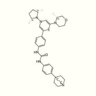 C[C@@H]1COCCN1C1=CN(N2[C@H](C)CC[C@@H]2C)C=C(c2ccc(NC(=O)Nc3ccc(C45CCN(CC4)CC5)cc3)cc2)S1